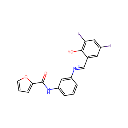 O=C(Nc1cccc(/N=C/c2cc(I)cc(I)c2O)c1)c1ccco1